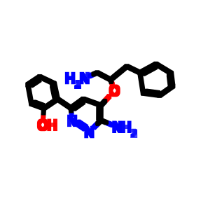 NCC(Cc1ccccc1)Oc1cc(-c2ccccc2O)nnc1N